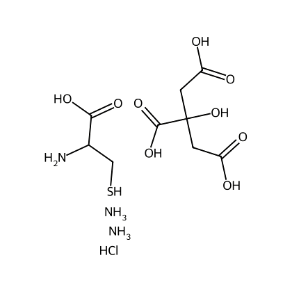 Cl.N.N.NC(CS)C(=O)O.O=C(O)CC(O)(CC(=O)O)C(=O)O